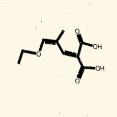 CCOC=C(C)C=C(C(=O)O)C(=O)O